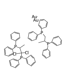 CC(CP(c1ccccc1)c1ccccc1)P(c1ccccc1)c1ccccc1.CC(P(c1ccccc1)c1ccccc1)C(Cl)(Cl)P(c1ccccc1)c1ccccc1.[Au].[Au]